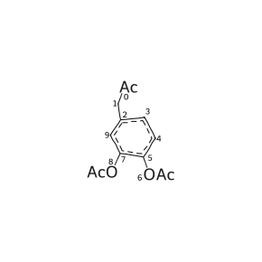 CC(=O)Cc1ccc(OC(C)=O)c(OC(C)=O)c1